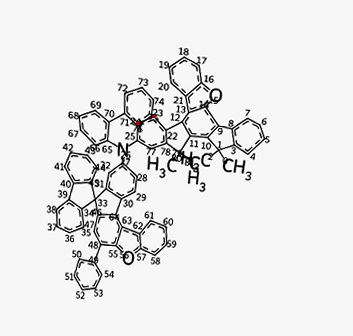 CC1(C)c2ccccc2-c2c1c1c(c3c2oc2ccccc23)-c2ccc(N(c3ccc4c(c3)C3(c5ccccc5-c5ccccc53)c3cc(-c5ccccc5)c5oc6ccccc6c5c3-4)c3ccccc3-c3ccccc3)cc2C1(C)C